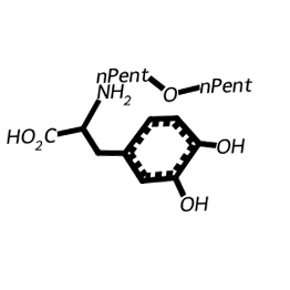 CCCCCOCCCCC.NC(Cc1ccc(O)c(O)c1)C(=O)O